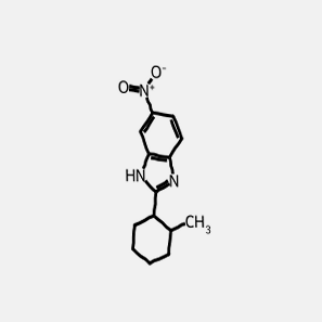 CC1CCCCC1c1nc2ccc([N+](=O)[O-])cc2[nH]1